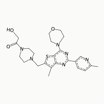 Cc1ccc(-c2nc(N3CCOCC3)c3sc(CN4CCN(C(=O)CO)CC4)c(C)c3n2)cn1